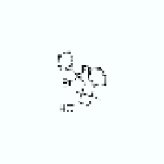 CC[Si](CC)(CC1(C)[C@@H](O)CC1(C)c1ccccc1)c1ccccc1